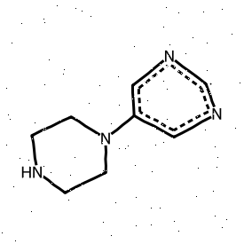 [c]1ncc(N2CCNCC2)cn1